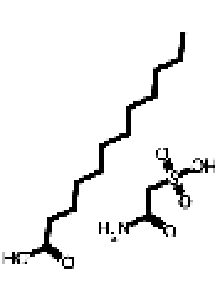 CCCCCCCCCCCC(=O)O.NC(=O)CS(=O)(=O)O